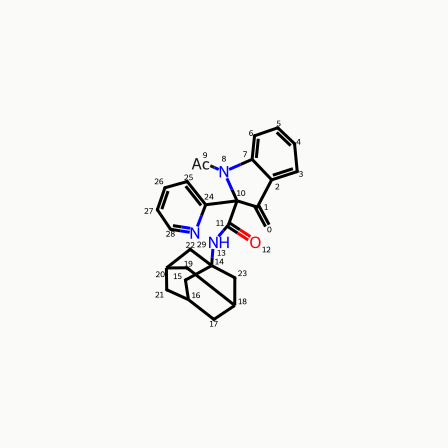 C=C1c2ccccc2N(C(C)=O)C1(C(=O)NC12CC3CC(CC(C3)C1)C2)c1ccccn1